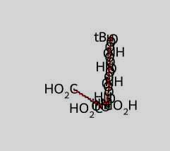 CC(C)(C)C(=O)COCCOCCNC(=O)COCCOCCNC(=O)COCCOCCNC(=O)COCCOCCNC(=O)CC[C@H](NC(=O)CC[C@H](NC(=O)CCCCCCCCCCCCCCCCC(=O)O)C(=O)O)C(=O)O